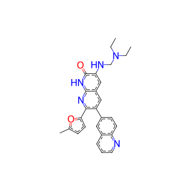 CCN(CC)CNc1cc2cc(-c3ccc4ncccc4c3)c(-c3ccc(C)o3)nc2[nH]c1=O